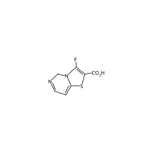 O=C(O)C1=C(F)N2CN=CC=C2S1